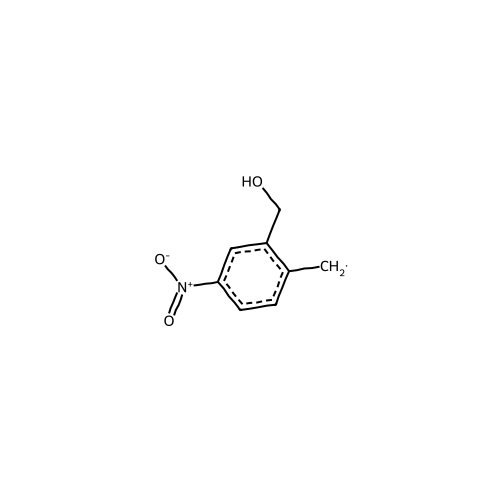 [CH2]c1ccc([N+](=O)[O-])cc1CO